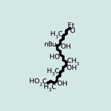 CCCCC(CCC(O)CCC(C)C(O)C/C=C(C)/C=C/C(O)C(C)/C=C/C(=O)O)C(O)C/C=C(C)/C=C/C(=O)CC